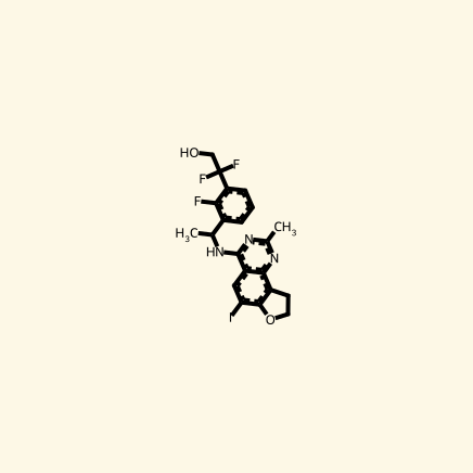 Cc1nc(NC(C)c2cccc(C(F)(F)CO)c2F)c2cc(I)c3c(c2n1)CCO3